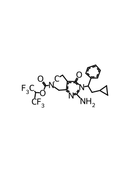 Nc1nc2c(c(=O)n1C(CC1CC1)c1ccccc1)CCN(C(=O)OC(C(F)(F)F)C(F)(F)F)C2